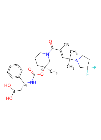 CC(C)(C=C(C#N)C(=O)N1CCC[C@](C)(OC(=O)N[C@H](CB(O)O)c2ccccc2)C1)N1CCC(F)(F)C1